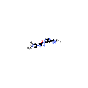 CC(C)N1CCC(n2cc(C(=O)Nc3cc4cc(-c5cn(C)nn5)ncc4cn3)cn2)CC1